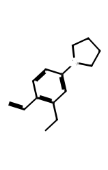 C=Cc1ccc(N2CCCC2)cc1CC